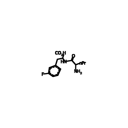 CCCC(N)C(=O)NC(Cc1cccc(F)c1)C(=O)O